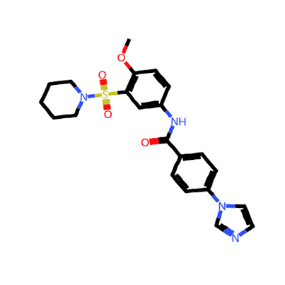 COc1ccc(NC(=O)c2ccc(-n3ccnc3)cc2)cc1S(=O)(=O)N1CCCCC1